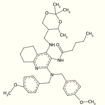 CCCCC(=O)Nc1c(N(Cc2ccc(OC)cc2)Cc2ccc(OC)cc2)nc2c(c1NCC1COC(C)(C)OC1C)CCCC2